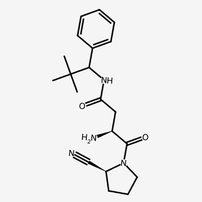 CC(C)(C)C(NC(=O)C[C@H](N)C(=O)N1CCC[C@H]1C#N)c1ccccc1